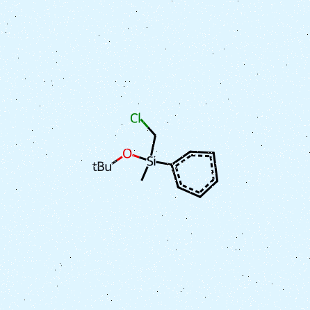 CC(C)(C)O[Si](C)(CCl)c1ccccc1